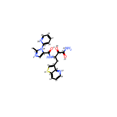 Cc1ncc(C(=O)NC(Cc2csc3cccnc23)C(=O)C(N)=O)n1-c1ccccn1